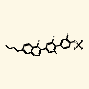 CCCCc1ccc2c(F)c(-c3cc(F)c(-c4ccc(OC(F)(F)F)c(F)c4)c(F)c3)ccc2c1